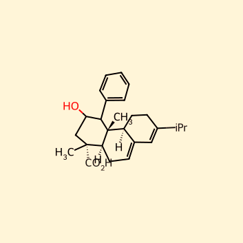 CC(C)C1=CC2=CC[C@@H]3[C@](C)(C(c4ccccc4)C(O)C[C@@]3(C)C(=O)O)[C@H]2CC1